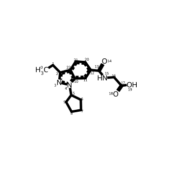 CCc1nn(C2CCCC2)c2cc(C(=O)NCC(=O)O)ccc12